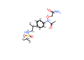 CC(=O)N(OCC(N)=O)c1ccc(C(C)CNS(=O)(=O)C(C)C)cc1